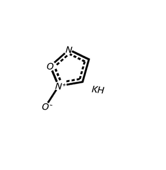 [KH].[O-][n+]1ccno1